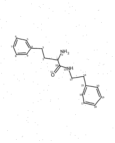 NC(CCc1ccccc1)C(=O)NCCc1ccccc1